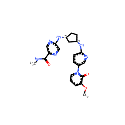 CNC(=O)c1cnc(N[C@@H]2CC[C@@H](Nc3ccc(-n4cccc(OC)c4=O)cn3)C2)cn1